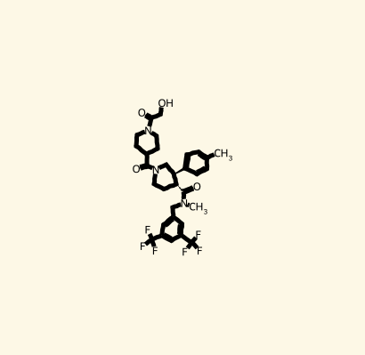 Cc1ccc([C@@H]2CN(C(=O)C3CCN(C(=O)CO)CC3)CC[C@H]2C(=O)N(C)Cc2cc(C(F)(F)F)cc(C(F)(F)F)c2)cc1